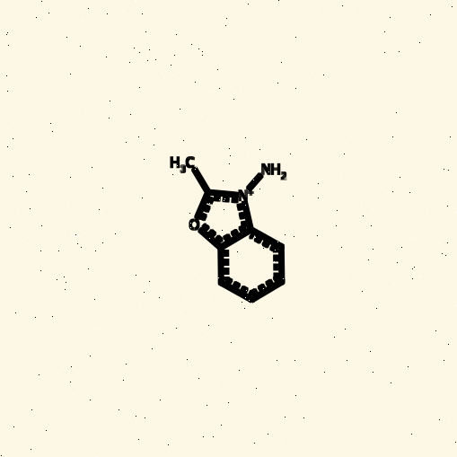 Cc1oc2ccccc2[n+]1N